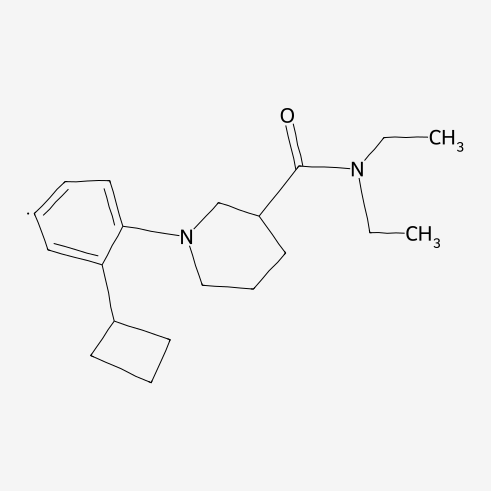 CCN(CC)C(=O)C1CCCN(c2cc[c]cc2C2CCC2)C1